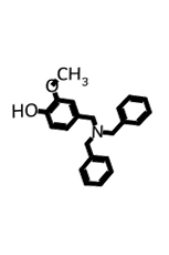 COc1cc(CN(Cc2ccccc2)Cc2ccccc2)ccc1O